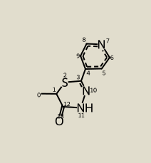 CC1SC(c2ccncc2)=NNC1=O